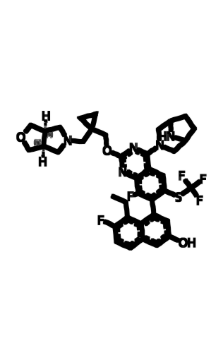 CCc1c(F)ccc2cc(O)cc(-c3c(SC(F)(F)F)cc4c(N5CC6CCC(C5)N6)nc(OCC5(CN6C[C@H]7COC[C@H]7C6)CC5)nc4c3F)c12